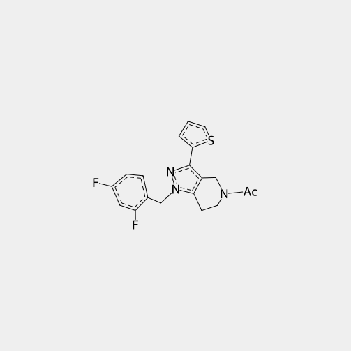 CC(=O)N1CCc2c(c(-c3cccs3)nn2Cc2ccc(F)cc2F)C1